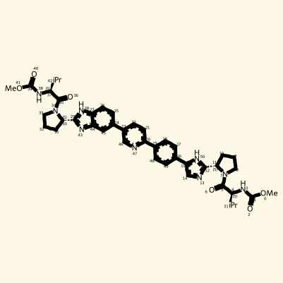 COC(=O)N[C@H](C(=O)N1CCC[C@H]1c1ncc(-c2ccc(-c3ccc(-c4ccc5[nH]c([C@@H]6CCCN6C(=O)[C@@H](NC(=O)OC)C(C)C)nc5c4)cn3)cc2)[nH]1)C(C)C